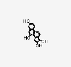 OC1=CCc2c(cc(O)c3c4c(ccc23)=C(O)C(O)=C4)=C1